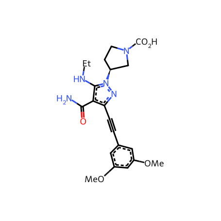 CCNc1c(C(N)=O)c(C#Cc2cc(OC)cc(OC)c2)nn1[C@H]1CCN(C(=O)O)C1